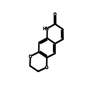 O=c1ccc2cc3c(cc2[nH]1)OCCO3